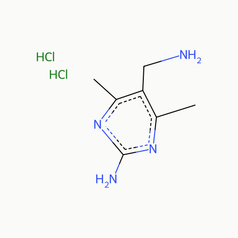 Cc1nc(N)nc(C)c1CN.Cl.Cl